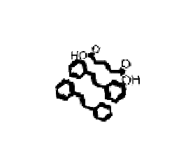 C(=Cc1ccccc1)c1ccccc1.C(=Cc1ccccc1)c1ccccc1.O=C(O)CCCC(=O)O